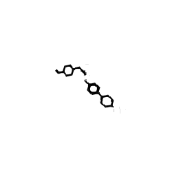 C=CC1CCC(CC(F)(F)OCc2ccc(C3CCC(CCC)CC3)cc2)CC1